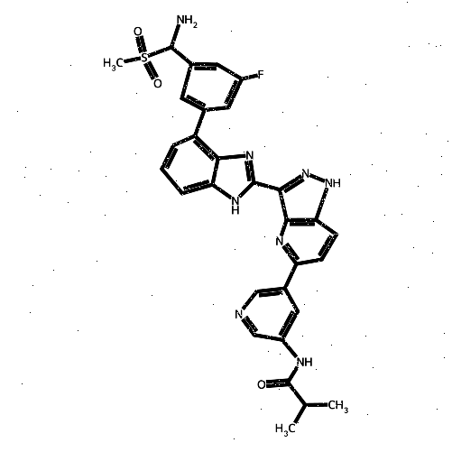 CC(C)C(=O)Nc1cncc(-c2ccc3[nH]nc(-c4nc5c(-c6cc(F)cc(C(N)S(C)(=O)=O)c6)cccc5[nH]4)c3n2)c1